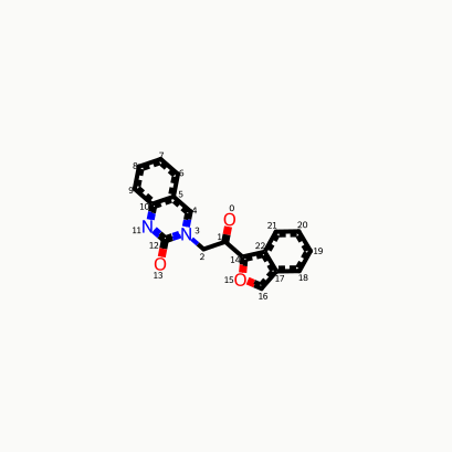 O=C(Cn1cc2ccccc2nc1=O)c1occ2ccccc12